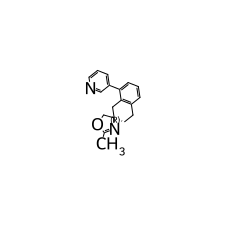 CC1=N[C@@]2(CCc3cccc(-c4cccnc4)c3C2)CO1